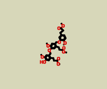 COC(=O)CCc1ccc(OC)c(OCc2cc(OC)c(OCc3cc(OC)c(O)cc3CCC(=O)OC)cc2CCC(=O)OC)c1